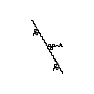 CCCCCC[C@H](CC=CCCCCCCCC(CCCCCCCC=CC[C@@H](CCCCCC)OC(=O)CC)OC(=O)OCCCN(C)C)OC(=O)CC